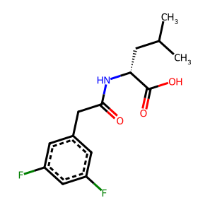 CC(C)C[C@@H](NC(=O)Cc1cc(F)cc(F)c1)C(=O)O